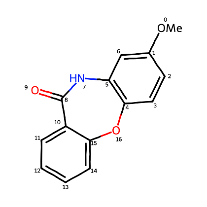 COc1ccc2c(c1)NC(=O)c1ccccc1O2